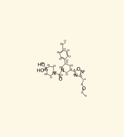 CCOCCc1noc(C2CC(c3ccc(CC)cc3)CN(C(=O)N3CCS(O)(O)CC3)C2)n1